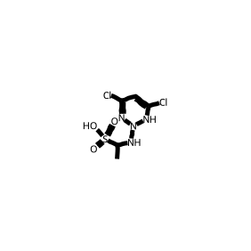 CC(NN1N=C(Cl)C=C(Cl)N1)S(=O)(=O)O